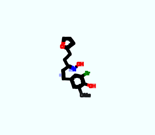 COc1cc(/C=C\C(CCc2ccco2)=N\O)cc(Br)c1O